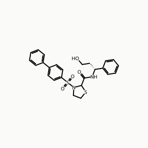 O=C(N[C@H](CCO)c1ccccc1)C1SCCN1S(=O)(=O)c1ccc(-c2ccccc2)cc1